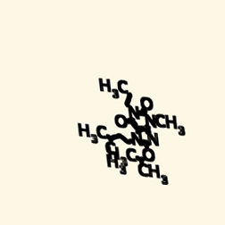 CCCn1c(=O)c2c(nc(OC(C)C)n2CCC(C)C)n(C)c1=O